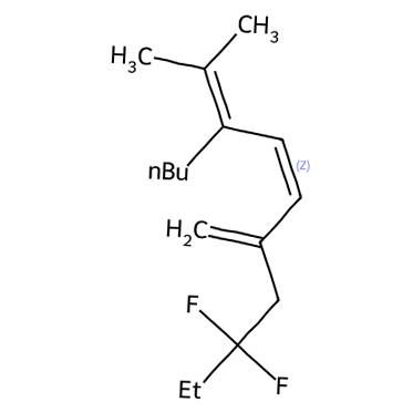 C=C(/C=C\C(CCCC)=C(C)C)CC(F)(F)CC